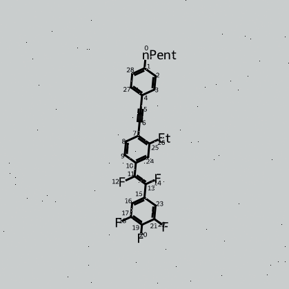 CCCCCc1ccc(C#Cc2ccc(/C(F)=C(\F)c3cc(F)c(F)c(F)c3)cc2CC)cc1